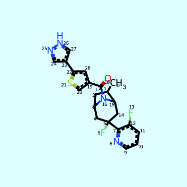 CC1CC2CC(F)(c3ncccc3F)CC1N2C(=O)c1csc(-c2cn[nH]c2)c1